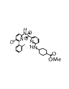 COC(=O)C1CCC(Nc2cccc(S(=O)(=O)Nc3ccc(Cl)c(-c4ccccc4C)n3)n2)CC1